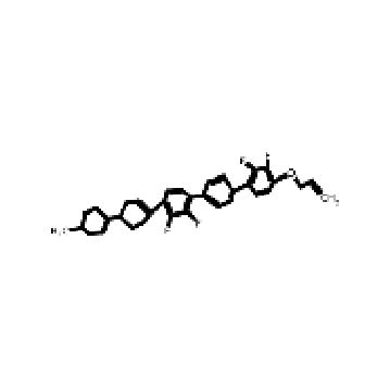 C=CCOc1ccc(-c2ccc(-c3ccc(C4=CCC(C5CCC(C)CC5)CC4)c(F)c3F)cc2)c(F)c1F